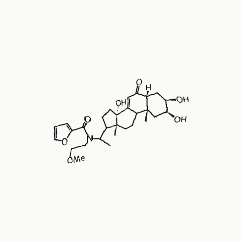 COCCN(C(=O)c1ccco1)C(C)C1CC[C@@]2(O)C3=CC(=O)[C@@H]4C[C@@H](O)[C@@H](O)C[C@]4(C)C3CC[C@]12C